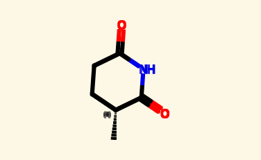 C[C@@H]1CCC(=O)NC1=O